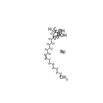 CCCCCCCC/C=C\CCCCCCCCC(C)[N+](O)(O)O.[Br-]